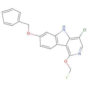 FCOc1ncc(Cl)c2[nH]c3cc(OCc4ccccc4)ccc3c12